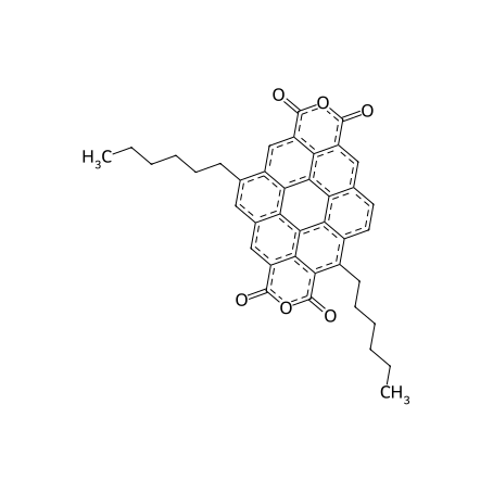 CCCCCCc1cc2cc3c(=O)oc(=O)c4c(CCCCCC)c5ccc6cc7c(=O)oc(=O)c8cc1c1c2c(c34)c5c6c1c78